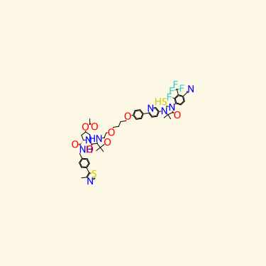 CC(=O)O[C@@H]1C[C@@H](C(=O)NCc2ccc(-c3scnc3C)cc2)N(C(=O)[C@@H](NC(=O)COCCCCOc2ccc(-c3ccc(N4C(S)N(c5ccc(C#N)c(C(F)(F)F)c5F)C(=O)C4(C)C)cn3)cc2)C(C)(C)C)C1